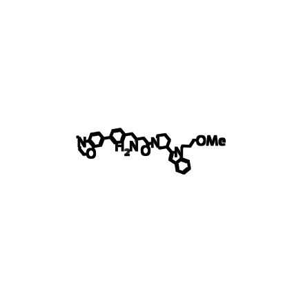 COCCCn1c(C2CCCN(C(=O)C[C@H](N)Cc3ccc(-c4ccc5c(c4)OCCN5C)cc3)C2)cc2ccccc21